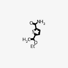 C=C(OCC)c1ccc(C(N)=O)s1